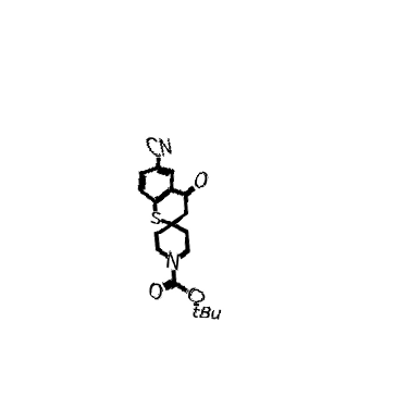 CC(C)(C)OC(=O)N1CCC2(CC1)CC(=O)c1cc(C#N)ccc1S2